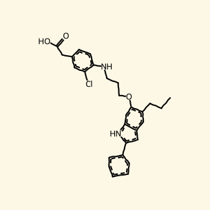 CCCc1cc2cc(-c3ccccc3)[nH]c2cc1OCCCNc1ccc(CC(=O)O)cc1Cl